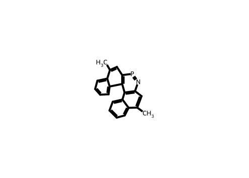 Cc1cc2npc3cc(C)c4ccccc4c3c2c2ccccc12